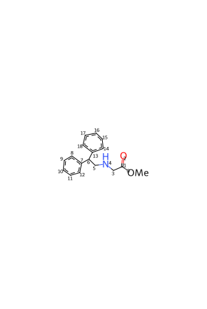 COC(=O)CNCC(c1ccccc1)c1ccccc1